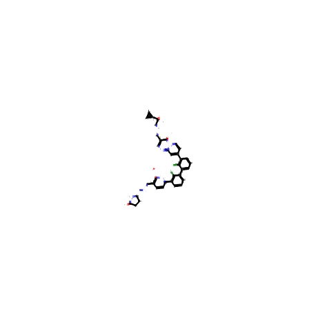 COc1nc(-c2cccc(-c3cccc(-c4ccn5c(=O)c(CNC[C@@](C)(O)C6CC6)cnc5c4)c3Cl)c2Cl)ccc1CNC[C@@H]1CCC(=O)N1